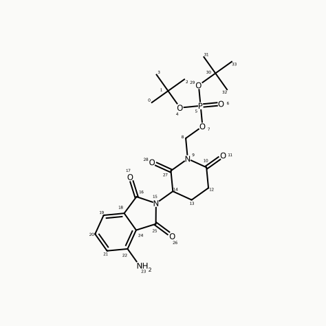 CC(C)(C)OP(=O)(OCN1C(=O)CCC(N2C(=O)c3cccc(N)c3C2=O)C1=O)OC(C)(C)C